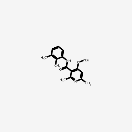 CCCCOc1cc(C)nc(C)c1C(=O)Nc1cccc(C)c1C